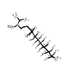 O=C(O)N(CCC(F)(F)C(F)(F)C(F)(F)C(F)(F)C(F)(F)C(F)(F)C(F)(F)C(F)(F)F)C(C(F)(F)F)C(F)(F)F